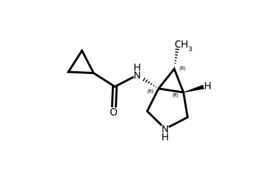 C[C@@H]1[C@@H]2CNC[C@@]12NC(=O)C1CC1